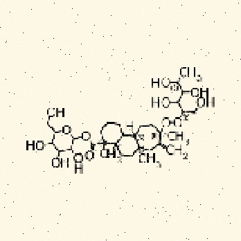 C=C1C[C@@]2(C)CC[C@H]3C(CCC[C@@]3(C)C(=O)OC3OC(CO)C(O)C(O)C3O)[C@@H]2CC[C@@]1(C)OO[C@H](CO)C(O)C(O)[C@H](C)O